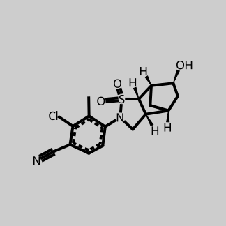 Cc1c(N2C[C@H]3[C@@H]4C[C@H]([C@H]3S2(=O)=O)[C@@H](O)C4)ccc(C#N)c1Cl